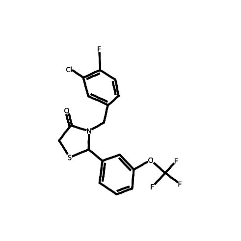 O=C1CSC(c2cccc(OC(F)(F)F)c2)N1Cc1ccc(F)c(Cl)c1